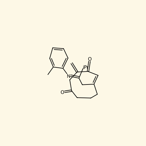 C=C1CC(=O)CCC/C(C/C(=N/c2ccccc2C)C(C)C)=C/C1=O